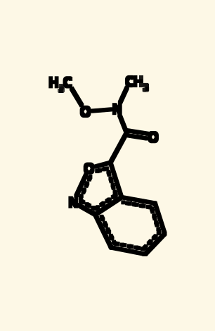 CON(C)C(=O)c1onc2ccccc12